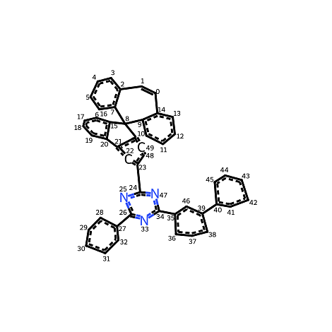 C1=Cc2ccccc2C2(c3ccccc31)c1ccccc1-c1cc(-c3nc(-c4ccccc4)nc(-c4cccc(-c5ccccc5)c4)n3)ccc12